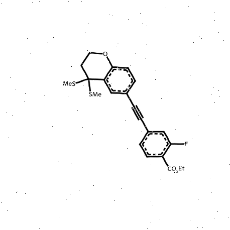 CCOC(=O)c1ccc(C#Cc2ccc3c(c2)C(SC)(SC)CCO3)cc1F